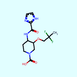 CC(F)(F)COC1CN(C(=O)O)CCC1NC(=O)c1ncc[nH]1